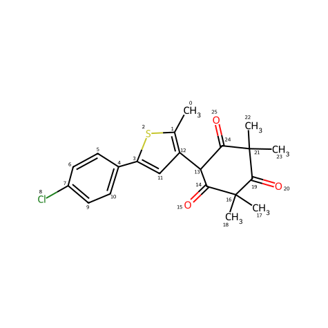 Cc1sc(-c2ccc(Cl)cc2)cc1C1C(=O)C(C)(C)C(=O)C(C)(C)C1=O